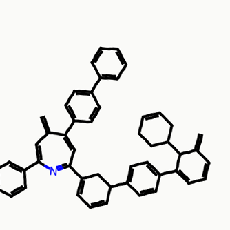 C=C1C=C(c2ccccc2)N=C(C2=CC=CC(c3ccc(C4=CC=CC(=C)C4C4CC=CCC4)cc3)C2)C=C1c1ccc(-c2ccccc2)cc1